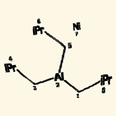 CC(C)[CH2][Al]([CH2]C(C)C)[CH2]C(C)C.[Ni]